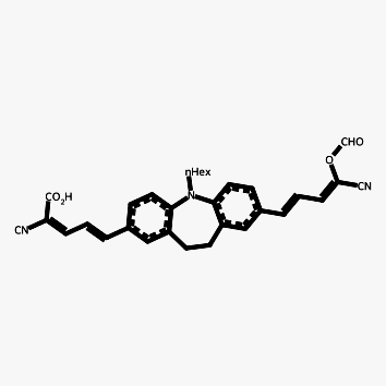 [C-]#[N+]/C(=C/C=C/c1ccc2c(c1)CCc1cc(/C=C/C=C(/C#N)OC=O)ccc1N2CCCCCC)C(=O)O